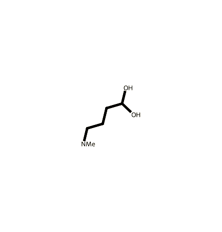 [CH2]NCCCC(O)O